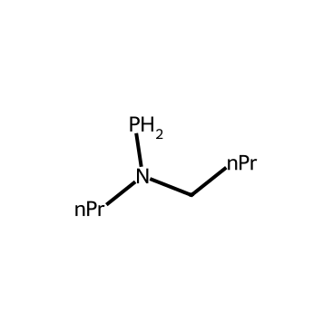 CCCCN(P)CCC